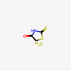 O=C1CSC(=S)N1.S